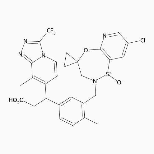 Cc1ccc(C(CC(=O)O)c2ccn3c(C(F)(F)F)nnc3c2C)cc1CN1CC2(CC2)Oc2ncc(Cl)cc2[S+]1[O-]